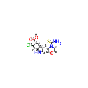 COC(=O)c1cc2c(C[C@H]3COCCN3C(N)=S)c[nH]c2cc1Cl